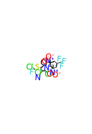 Cc1c(SC(F)(Cl)Cl)c(C#N)c(Cl)n1-c1c([N+](=O)[O-])cc(C(F)(F)F)cc1[N+](=O)[O-]